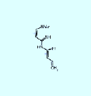 C=C/C=C(\CC)NC(=N)/C=C\NC